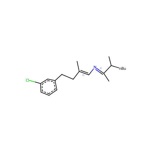 CCCCC(C)/C(C)=N/C=C(\C)CCc1cccc(Cl)c1